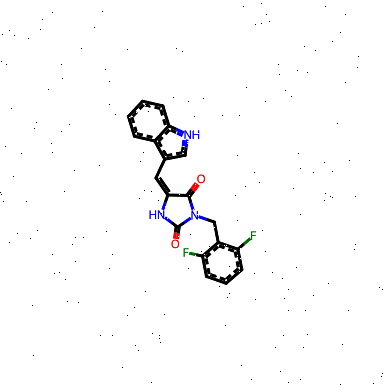 O=C1N/C(=C/c2c[nH]c3ccccc23)C(=O)N1Cc1c(F)cccc1F